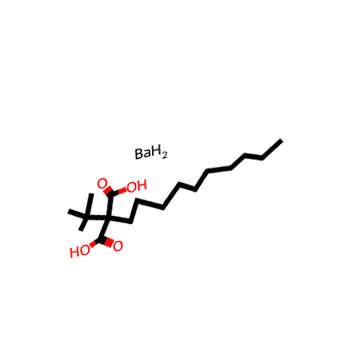 CCCCCCCCCCC(C(=O)O)(C(=O)O)C(C)(C)C.[BaH2]